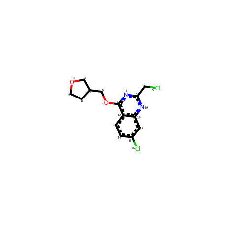 ClCc1nc(OCC2CCOC2)c2ccc(Cl)cc2n1